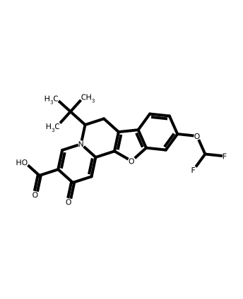 CC(C)(C)C1Cc2c(oc3cc(OC(F)F)ccc23)-c2cc(=O)c(C(=O)O)cn21